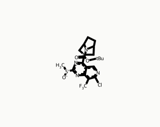 C[S+]([O-])c1nc(N2CC3CCC(C2)N3C(=O)OC(C)(C)C)c2cnc(Cl)c(C(F)(F)F)c2n1